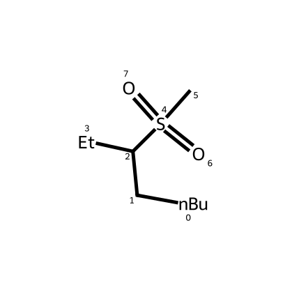 CCCCCC(CC)S(C)(=O)=O